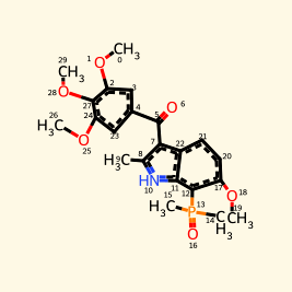 COc1cc(C(=O)c2c(C)[nH]c3c(P(C)(C)=O)c(OC)ccc23)cc(OC)c1OC